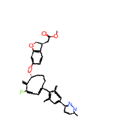 C=C1/C(F)=C\C=C(\c2c(C)cc(-c3ccc(C)nn3)cc2C)CCC[C@H]1Oc1ccc2c(c1)OC[C@H]2CC(=O)OC